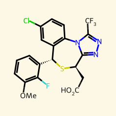 COc1cccc([C@H]2S[C@H](CC(=O)O)c3nnc(C(F)(F)F)n3-c3ccc(Cl)cc32)c1F